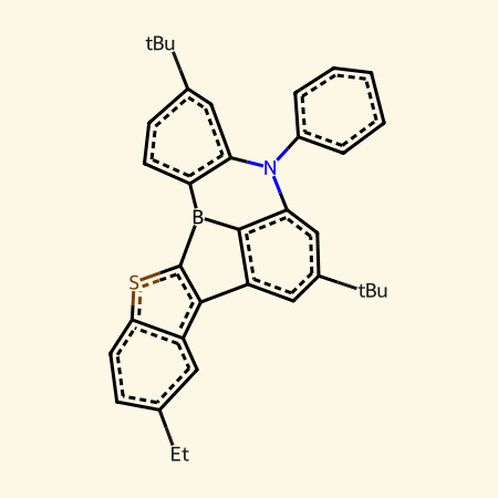 CCc1ccc2sc3c(c2c1)-c1cc(C(C)(C)C)cc2c1B3c1ccc(C(C)(C)C)cc1N2c1ccccc1